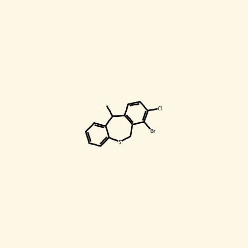 CC1c2ccccc2SCc2c1ccc(Cl)c2Br